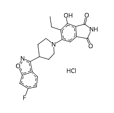 CCc1c(N2CCC(c3noc4cc(F)ccc34)CC2)cc2c(c1O)C(=O)NC2=O.Cl